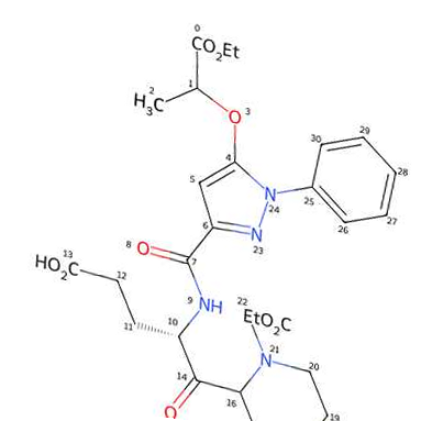 CCOC(=O)C(C)Oc1cc(C(=O)N[C@@H](CCC(=O)O)C(=O)C2CNCCN2C(=O)OCC)nn1-c1ccccc1